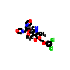 CC1=C(C(=O)OCCOc2cc(Cl)cc(Cl)c2)C(C)C(C(=O)OC(CN2CCOCC2)CN2CCOCC2)=C(C)N1